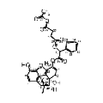 CN1CC[C@]23c4c5ccc(O)c4O[C@H]2C(OC(=O)[C@@H](OC(=O)CCC(=O)OC(=O)C(F)(F)F)c2ccccc2)=CC[C@@]3(O)[C@H]1C5